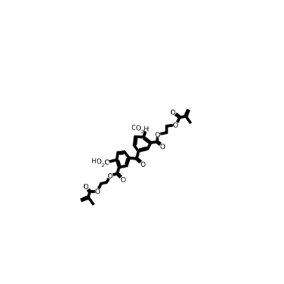 C=C(C)C(=O)OCCOC(=O)c1cc(C(=O)c2ccc(C(=O)O)c(C(=O)OCCOC(=O)C(=C)C)c2)ccc1C(=O)O